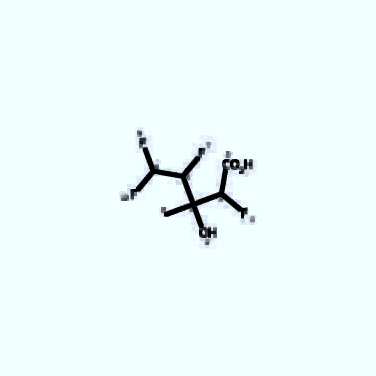 CC(O)(C(F)C(=O)O)C(F)C(F)F